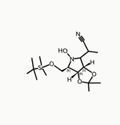 CC(C#N)C1[C@@H]2OC(C)(C)O[C@@H]2[C@@H](CO[Si](C)(C)C(C)(C)C)N1O